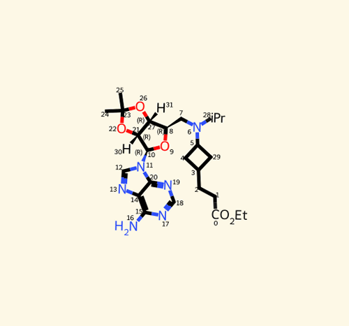 CCOC(=O)CCC1CC(N(C[C@H]2O[C@@H](n3cnc4c(N)ncnc43)[C@@H]3OC(C)(C)O[C@@H]32)C(C)C)C1